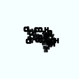 O=C(O)Cc1cc(Cl)cc2cc(Cl)cc(CC(=O)Oc3ccc4c5c3O[C@H]3C(=O)CC[C@@]6(O)[C@@H](C4)N(CC4CC4)CC[C@]536)c12